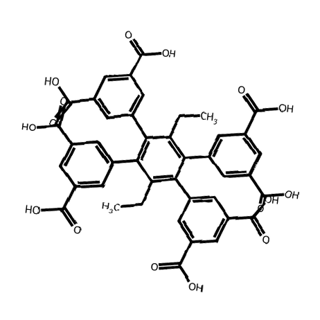 CCc1c(-c2cc(C(=O)O)cc(C(=O)O)c2)c(-c2cc(C(=O)O)cc(C(=O)O)c2)c(CC)c(-c2cc(C(=O)O)cc(C(=O)O)c2)c1-c1cc(C(=O)O)cc(C(=O)O)c1